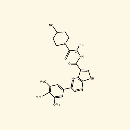 COc1cc(-c2cnc3[nH]cc(C(=O)N[C@@H](C(=O)N4CCC(C#N)CC4)C(C)(C)C)c3n2)cc(OC)c1OC